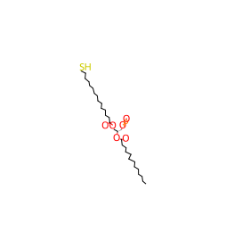 CCCCCCCCCCCCC(=O)O[C@@H](COP=O)COC(=O)CCCCCCCCCCCCCCS